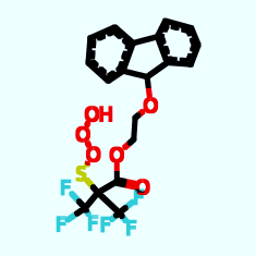 O=C(OCCOC1c2ccccc2-c2ccccc21)C(SOOO)(C(F)(F)F)C(F)(F)F